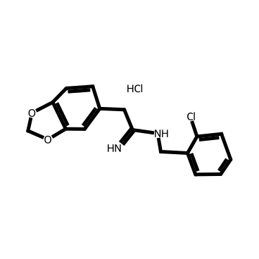 Cl.N=C(Cc1ccc2c(c1)OCO2)NCc1ccccc1Cl